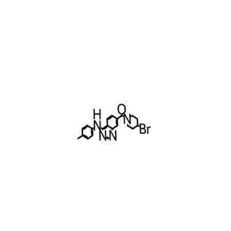 Cc1ccc(Nc2ncnc3cc(C(=O)N4CCC(Br)CC4)ccc23)cc1